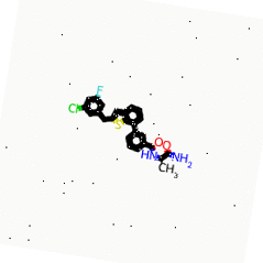 C[C@H](NC(=O)c1cccc(-c2cccc3cc(Cc4cc(F)cc(Cl)c4)sc23)c1)C(N)=O